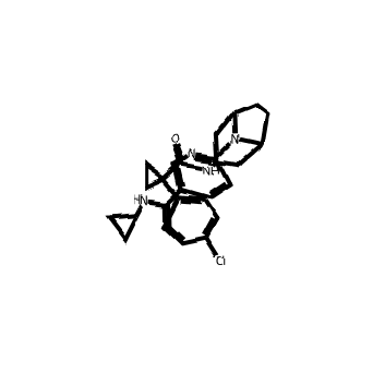 C=C(NC1CC1)c1ccc(N2C3CCC2CC(NC(=O)C2(c4ccc(Cl)cc4)CC2)C3)nc1